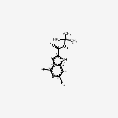 CC(C)(C)OC(=O)c1cc2c(F)cc(F)cc2[nH]1